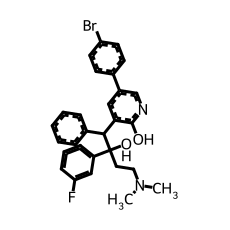 CN(C)CCC(O)(C1=C=C=CC(F)=C1)C(c1ccccc1)c1cc(-c2ccc(Br)cc2)cnc1O